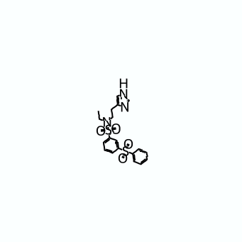 CCN(CCc1c[nH]cn1)S(=O)(=O)c1cccc(S(=O)(=O)c2ccccc2)c1